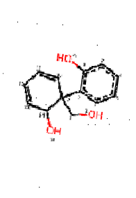 OCC1(c2ccccc2O)C=CC=CC1O